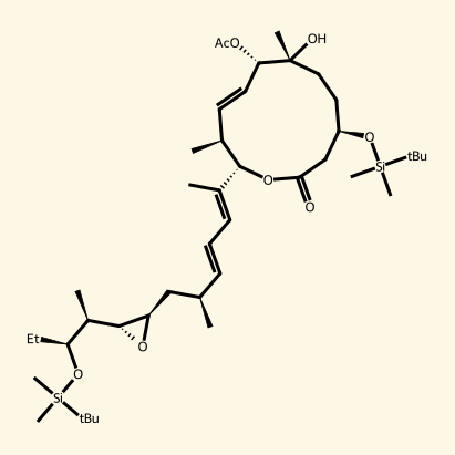 CC[C@H](O[Si](C)(C)C(C)(C)C)[C@@H](C)[C@H]1O[C@@H]1C[C@H](C)/C=C/C=C(\C)[C@H]1OC(=O)C[C@H](O[Si](C)(C)C(C)(C)C)CC[C@@](C)(O)[C@@H](OC(C)=O)/C=C/[C@@H]1C